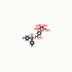 O=C1[C@H](CC[C@H](O)C2=CCC([C@H]3O[C@@H](CO)[C@H](O)[C@@H](O)[C@@H]3O)C=C2)C(c2ccc(F)cc2)N1c1ccc(F)cc1